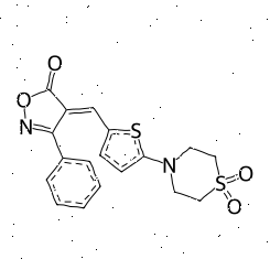 O=C1ON=C(c2ccccc2)/C1=C\c1ccc(N2CCS(=O)(=O)CC2)s1